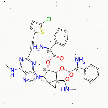 CNC(=O)[C@@]12CC1[C@@H](n1cnc3c(NC)nc(C#Cc4ccc(Cl)s4)nc31)[C@H](OC(=O)[C@@H](N)c1ccccc1)C2OC(=O)[C@@H](N)c1ccccc1